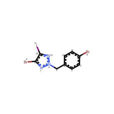 Brc1ccc(Cn2nc(Br)c(I)n2)cc1